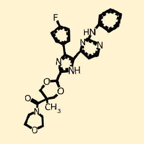 CC1(C(=O)N2CCOCC2)COC(c2nc(-c3ccc(F)cc3)c(-c3ccnc(Nc4ccccc4)n3)[nH]2)OC1